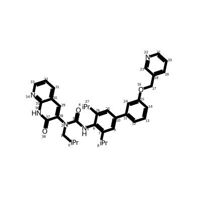 CC(C)CN(C(=O)Nc1c(C(C)C)cc(-c2cccc(OCc3cccnc3)c2)cc1C(C)C)c1cc2cccnc2[nH]c1=O